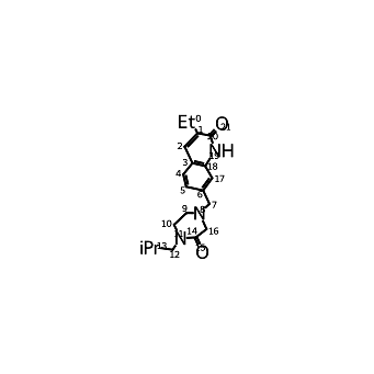 CCc1cc2ccc(CN3CCN(CC(C)C)C(=O)C3)cc2[nH]c1=O